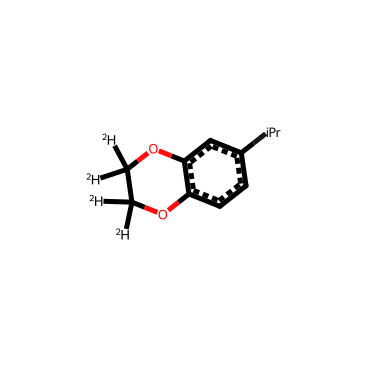 [2H]C1([2H])Oc2ccc(C(C)C)cc2OC1([2H])[2H]